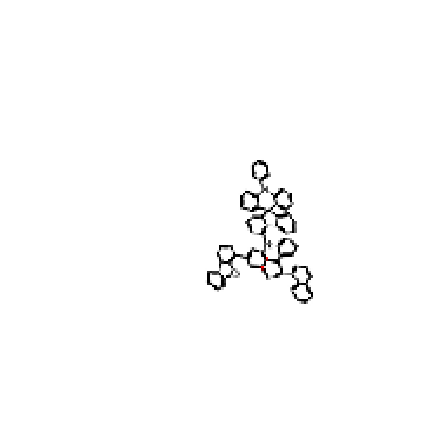 c1ccc(N2c3ccccc3C3(c4ccccc4-c4c(N(c5cccc(-c6cccc7c6oc6ccccc67)c5)c5ccccc5-c5ccccc5-c5cccc6ccccc56)cccc43)c3ccccc32)cc1